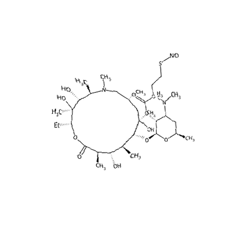 CC[C@H]1OC(=O)[C@H](C)[C@@H](O)[C@H](C)[C@@H](O[C@@H]2O[C@H](C)CC(N(C)C)[C@H]2OC(=O)OCCSN=O)[C@](C)(O)C[C@@H](C)CN(C)[C@H](C)[C@@H](O)[C@]1(C)O